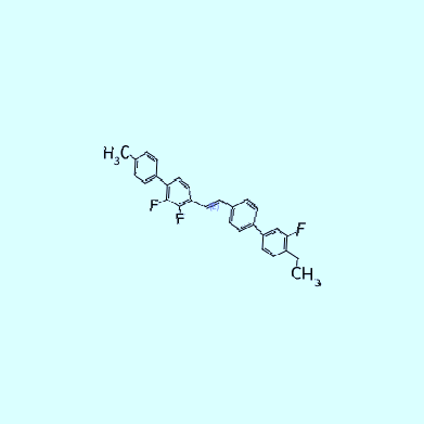 CCc1ccc(-c2ccc(/C=C/c3ccc(-c4ccc(C)cc4)c(F)c3F)cc2)cc1F